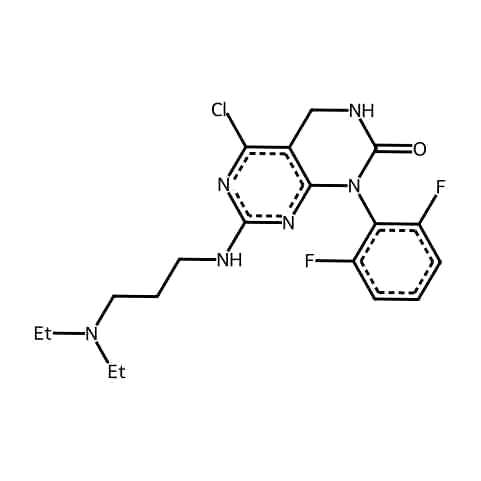 CCN(CC)CCCNc1nc(Cl)c2c(n1)N(c1c(F)cccc1F)C(=O)NC2